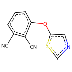 N#Cc1cccc(Oc2cn[c]s2)c1C#N